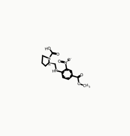 COC(=O)c1ccc(NC[C@H]2CCCN2C(=O)O)c([N+](=O)[O-])c1